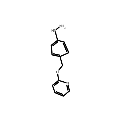 NNc1ccc(COc2ccccn2)cc1